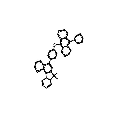 CC1(C)c2cc(-c3ccc(Sc4c5ccccc5c(-c5ccccc5)c5ccccc45)cc3)c3ccccc3c2C2C=CC=CC21